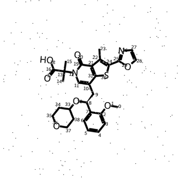 COc1ccccc1[C@H](Cc1cn(C(C)(C)C(=O)O)c(=O)c2c(C)c(-c3ncco3)sc12)OC1CCOCC1